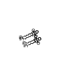 CC(C)CCCCCCCOC(=O)c1ccccc1C(=O)OCCCCCCCC(C)C.CC(C)CCCCCCOC(=O)c1ccccc1C(=O)OCCCCCCC(C)C